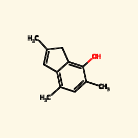 CC1=Cc2c(C)cc(C)c(O)c2C1